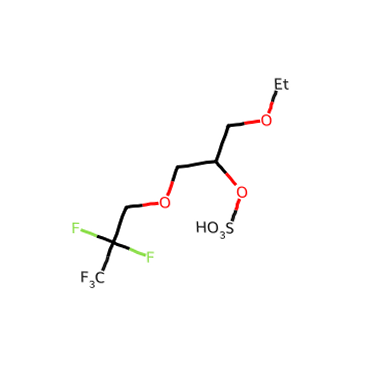 CCOCC(COCC(F)(F)C(F)(F)F)OS(=O)(=O)O